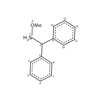 CO[SiH2]C(c1ccccc1)c1ccccc1